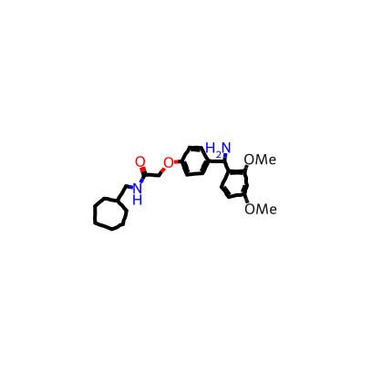 COc1ccc(C(N)c2ccc(OCC(=O)NCC3CCCCCC3)cc2)c(OC)c1